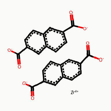 O=C([O-])c1ccc2cc(C(=O)[O-])ccc2c1.O=C([O-])c1ccc2cc(C(=O)[O-])ccc2c1.[Zr+4]